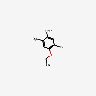 COc1cc(C(C)C)c(OCC#N)cc1[N+](=O)[O-]